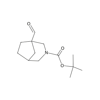 CC(C)(C)OC(=O)N1CC2CCC(C=O)(C2)C1